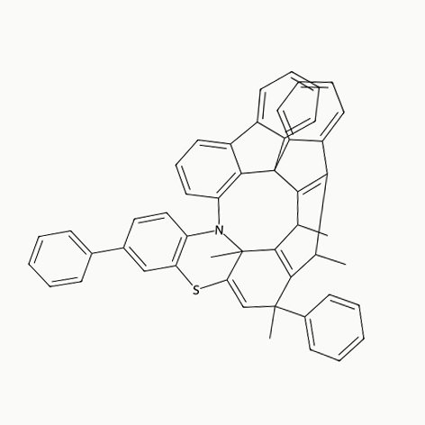 CC1C2=C3C(C)C4=C1C(C)(c1ccccc1)C=C1Sc5cc(-c6ccccc6)ccc5N(c5cccc6c5C3(c3ccccc32)c2ccccc2-6)C14C